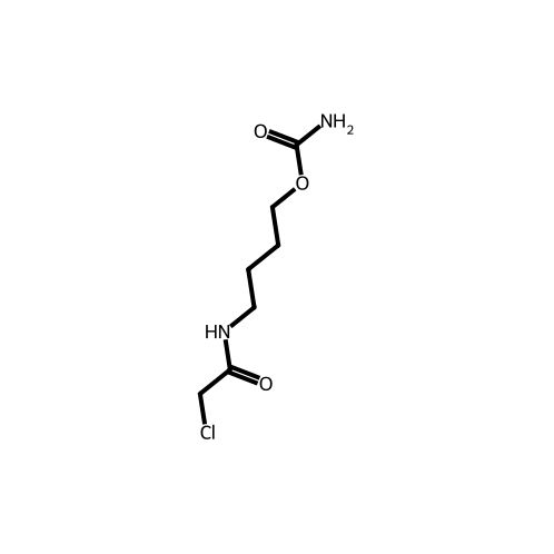 NC(=O)OCCCCNC(=O)CCl